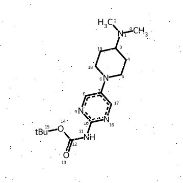 CN(C)C1CCN(c2cnc(NC(=O)OC(C)(C)C)nc2)CC1